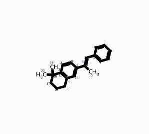 C/C(=C\c1ccccc1)c1ccc2c(c1)CCCC2(C)C